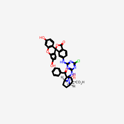 C[N+]1(CNc2nc(Cl)nc(Nc3ccc4c(c3)C3(OC4=O)c4ccc(O)cc4Oc4cc(O)ccc43)n2)[C@@H]2CC[C@H]1C(C(=O)c1ccccc1)[C@H](O)[C@@H]2C(=O)O